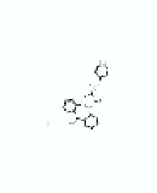 O=C(O)CC1c2ccccc2C(=O)N(CC(=O)NCc2ccncc2)c2ccccc21